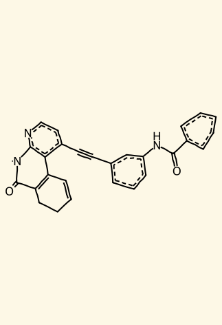 O=C1[N]c2nccc(C#Cc3cccc(NC(=O)c4ccccc4)c3)c2C2=C1CCC=C2